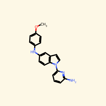 COc1ccc(Nc2ccc3c(ccn3-c3cccc(N)n3)c2)cc1